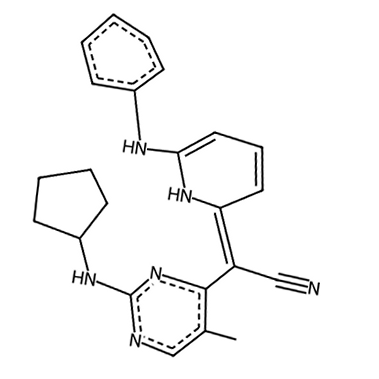 Cc1cnc(NC2CCCC2)nc1C(C#N)=C1C=CC=C(Nc2ccccc2)N1